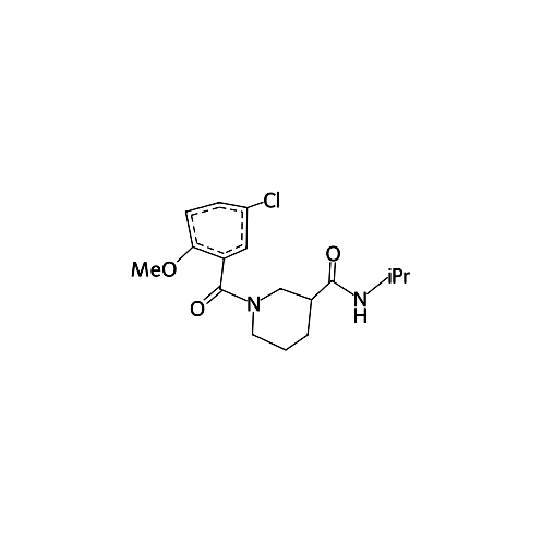 COc1ccc(Cl)cc1C(=O)N1CCCC(C(=O)NC(C)C)C1